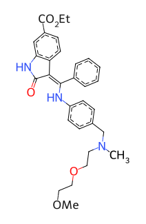 CCOC(=O)c1ccc2c(c1)NC(=O)/C2=C(\Nc1ccc(CN(C)CCOCCOC)cc1)c1ccccc1